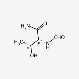 C[C@@H](O)[C@@H](NC=O)C(N)=O